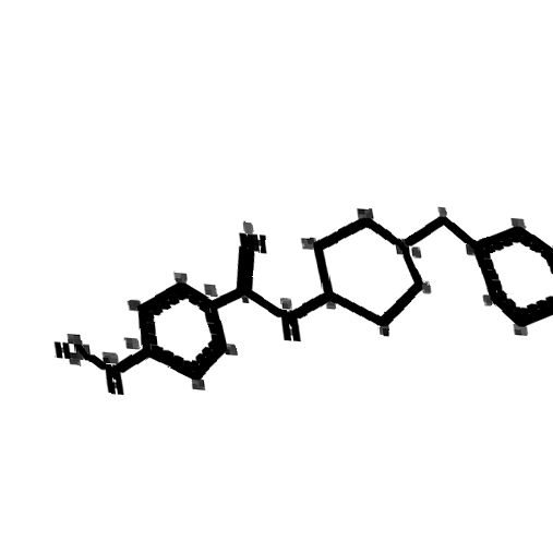 N=C(NC1CCN(Cc2ccccc2)CC1)c1ccc(NN)cc1